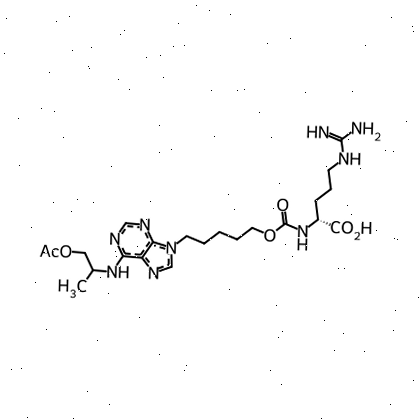 CC(=O)OCC(C)Nc1ncnc2c1ncn2CCCCCOC(=O)N[C@H](CCCNC(=N)N)C(=O)O